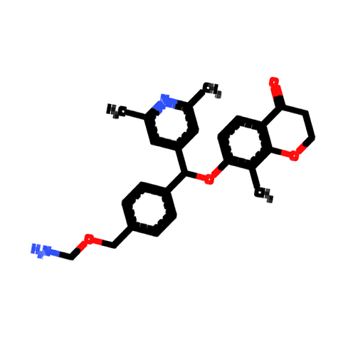 Cc1cc(C(Oc2ccc3c(c2C)OCCC3=O)c2ccc(COCN)cc2)cc(C)n1